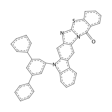 O=c1c2ccccc2sc2nc3cc4c(cc3n12)c1ccccc1n4-c1cc(-c2ccccc2)cc(-c2ccccc2)c1